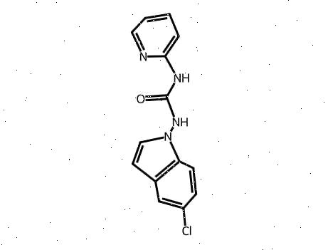 O=C(Nc1ccccn1)Nn1ccc2cc(Cl)ccc21